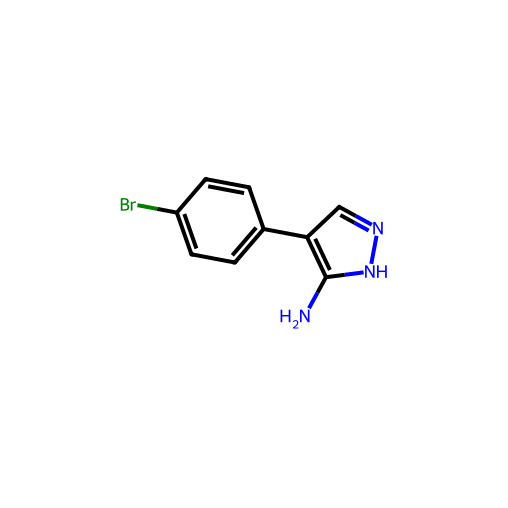 Nc1[nH]ncc1-c1ccc(Br)cc1